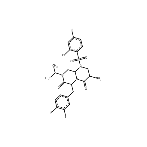 CC(C)N1CC2N(C(=O)C(N)CN2S(=O)(=O)c2ccc(Cl)cc2Cl)C(Cc2ccc(F)c(F)c2)C1=O